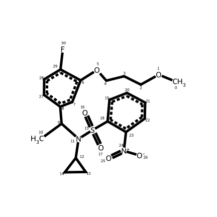 COCCCOc1cc(C(C)N(C2CC2)S(=O)(=O)c2ccccc2[N+](=O)[O-])ccc1F